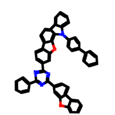 c1ccc(-c2ccc(-n3c4ccccc4c4ccc5c6ccc(-c7nc(-c8ccccc8)nc(-c8ccc9c(c8)oc8ccccc89)n7)cc6oc5c43)cc2)cc1